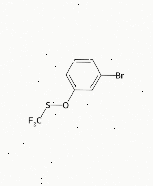 FC(F)(F)SOc1cccc(Br)c1